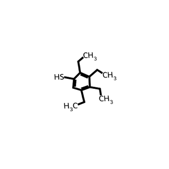 CCc1cc(S)c(CC)c(CC)c1CC